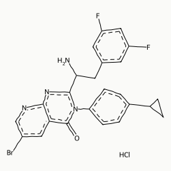 Cl.NC(Cc1cc(F)cc(F)c1)c1nc2ncc(Br)cc2c(=O)n1-c1ccc(C2CC2)cc1